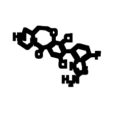 Nc1nc2c(-c3c(Cl)cc4c(c3Cl)OCCC3CNCCN3C4=O)ccc(F)c2s1